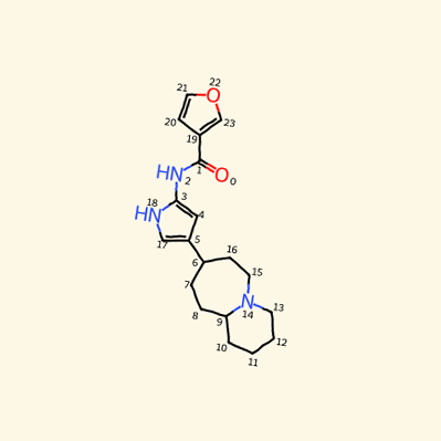 O=C(Nc1cc(C2CCC3CCCCN3CC2)c[nH]1)c1ccoc1